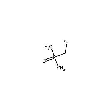 [2H]CP(C)(C)=O